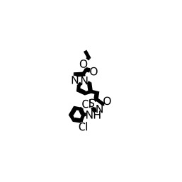 CCOC(=O)c1cnc2ccc(/C=C3\SC(Nc4c(Cl)cccc4Cl)=NC3=O)cn12